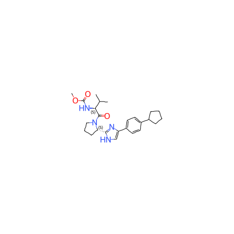 COC(=O)N[C@H](C(=O)N1CCC[C@H]1c1nc(-c2ccc(C3CCCC3)cc2)c[nH]1)C(C)C